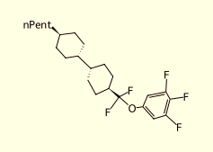 CCCCC[C@H]1CC[C@H]([C@H]2CC[C@H](C(F)(F)Oc3cc(F)c(F)c(F)c3)CC2)CC1